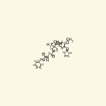 COc1ccc([C@@H]2CN(C(=O)CNC(=O)OCc3ccccc3)C[C@@]2(C)[C@@H](C)O)cc1OC1CCCC1